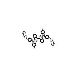 Cc1ccc(N(c2ccc(COCC3CO3)cc2)c2sc(-c3sc(N(c4ccc(C)cc4)c4ccc(COCC5CO5)cc4)c4ccccc34)c3ccccc23)cc1